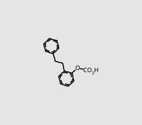 O=C(O)Oc1ccccc1CCc1ccccc1